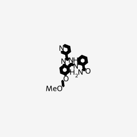 COCCOc1ccc2nc(-c3cccnc3)nc(Nc3ccccc3C(N)=O)c2c1